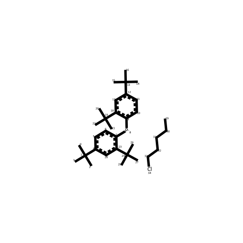 CC(C)(C)c1ccc([P]c2ccc(C(C)(C)C)cc2C(C)(C)C)c(C(C)(C)C)c1.CCCCCCl